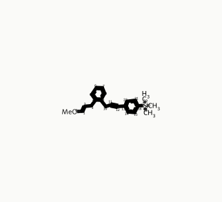 CO/C=C/Cc1ccccc1CC#Cc1ccc([Si](C)(C)C)cc1